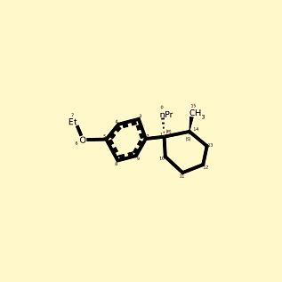 CCC[C@@]1(c2ccc(OCC)cc2)CCCC[C@@H]1C